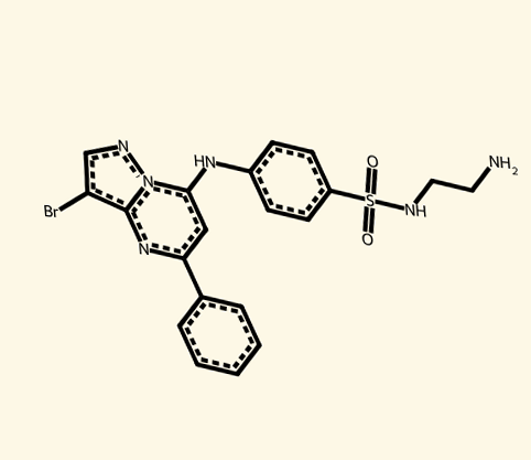 NCCNS(=O)(=O)c1ccc(Nc2cc(-c3ccccc3)nc3c(Br)cnn23)cc1